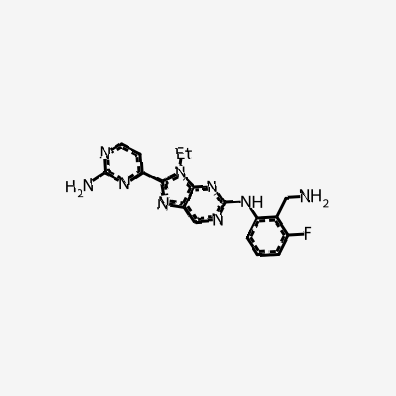 CCn1c(-c2ccnc(N)n2)nc2cnc(Nc3cccc(F)c3CN)nc21